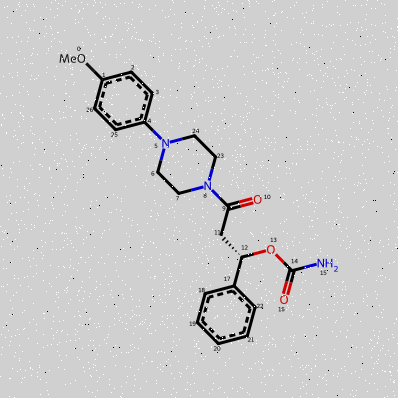 COc1ccc(N2CCN(C(=O)C[C@H](OC(N)=O)c3ccccc3)CC2)cc1